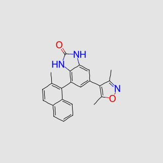 Cc1ccc2ccccc2c1-c1cc(-c2c(C)noc2C)cc2[nH]c(=O)[nH]c12